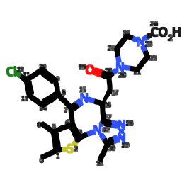 Cc1sc2c(c1C)C(c1ccc(Cl)cc1)=N[C@@H](CC(=O)N1CCN(C(=O)O)CC1)c1nnc(C)n1-2